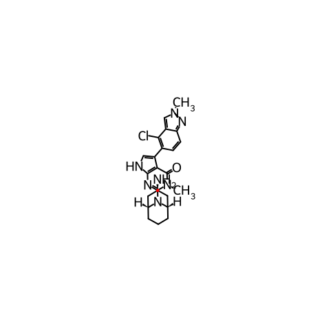 Cn1cc2c(Cl)c(-c3c[nH]c4nc(N5[C@@H]6CCC[C@H]5C[C@H](N)C6)n(C)c(=O)c34)ccc2n1